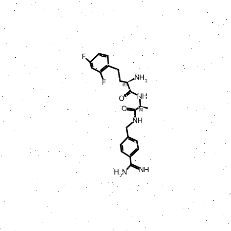 C[C@H](NC(=O)[C@H](N)CCc1ccc(F)cc1F)C(=O)NCc1ccc(C(=N)N)cc1